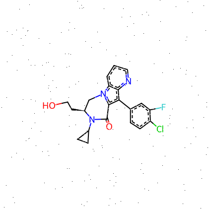 O=C1c2c(-c3ccc(Cl)c(F)c3)c3ncccc3n2C[C@H](CCO)N1C1CC1